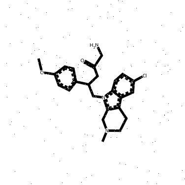 COc1ccc(C(CC(=O)CN)Cn2c3c(c4cc(Cl)ccc42)CCN(C)C3)cc1